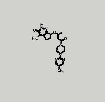 CC(CC(=O)N1CCN(c2ncc(C(F)(F)F)cn2)CC1)OC1CCc2c1n[nH]c(=O)c2C(F)(F)F